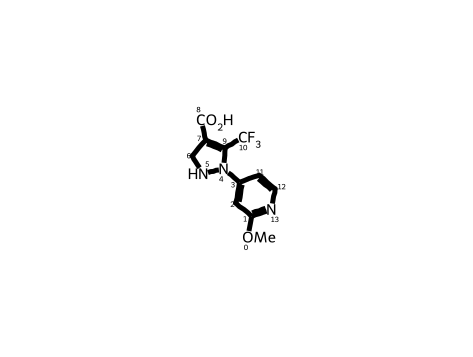 COc1cc(N2NCC(C(=O)O)=C2C(F)(F)F)ccn1